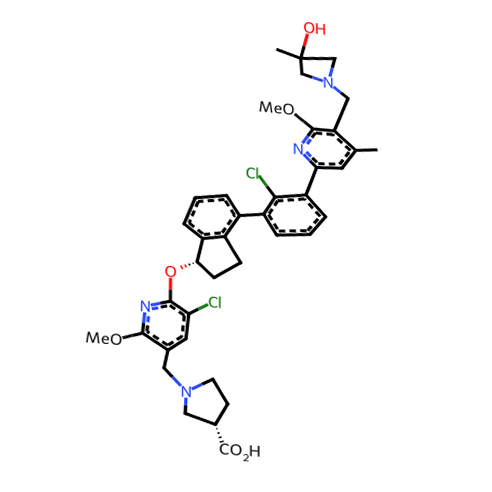 COc1nc(O[C@H]2CCc3c(-c4cccc(-c5cc(C)c(CN6CC(C)(O)C6)c(OC)n5)c4Cl)cccc32)c(Cl)cc1CN1CC[C@H](C(=O)O)C1